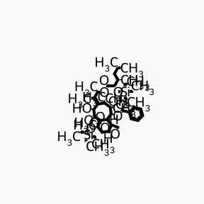 CC[Si](CC)(CC)OC(C(=O)O[C@@H](C)/C(C)=C1/[C@@H](O)C(=O)[C@]2(C)[C@@H](O[Si](CC)(CC)CC)C[C@H]3OC[C@@]3(OC(C)=O)[C@H]2[C@H](OC(=O)c2ccccc2)[C@@](C)(O)C1(C)C)[C@@H](C)CC(C)C